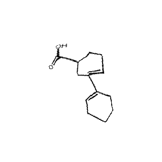 O=C(O)C1CCC=C(C2=CCCCC2)C1